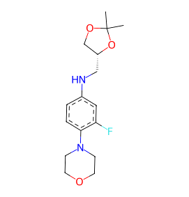 CC1(C)OC[C@@H](CNc2ccc(N3CCOCC3)c(F)c2)O1